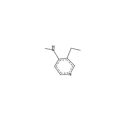 CCc1cnccc1NC